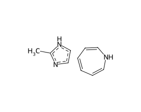 C1=CC=CNC=C1.Cc1ncc[nH]1